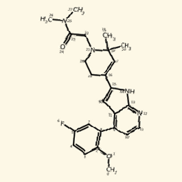 COc1ccc(F)cc1-c1ccnc2[nH]c(C3=CC(C)(C)N(CC(=O)N(C)C)CC3)cc12